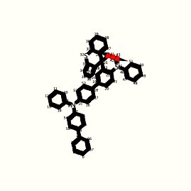 c1ccc(-c2ccc(N(c3ccccc3)c3ccc(-c4ccc5c(c4)C4(c6ccccc6Sc6ccccc64)c4ccccc4[SiH]5c4ccccc4)cc3)cc2)cc1